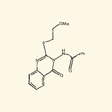 CCCC(=O)Nn1c(SCCOC)nc2ccccc2c1=O